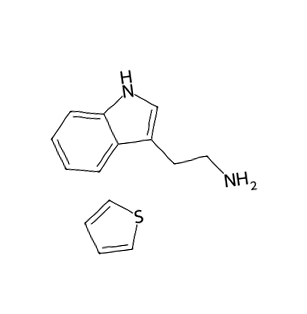 NCCc1c[nH]c2ccccc12.c1ccsc1